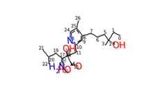 CCC(C)(O)CCCc1cc(C[C@](O)(C(=O)O)[C@@H](N)CC(C)C)ncc1C